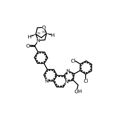 O=C(c1ccc(-c2cnc3ccn4c(CO)c(-c5c(Cl)cccc5Cl)nc4c3c2)cc1)N1C[C@@H]2C[C@H]1CO2